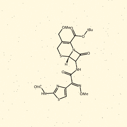 COCC1=C(C(=O)OC(C)(C)C)N2C(=O)C(NC(=O)C(=NOC)c3csc(NC=O)n3)[C@@H]2SC1